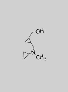 CN(CC1CC1CO)C1CC1